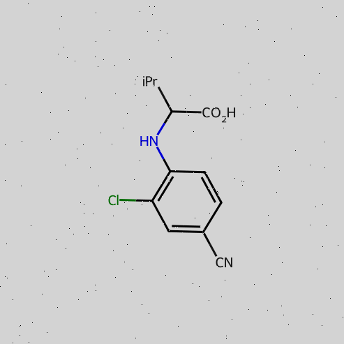 CC(C)C(Nc1ccc(C#N)cc1Cl)C(=O)O